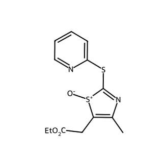 CCOC(=O)Cc1c(C)nc(Sc2ccccn2)[s+]1[O-]